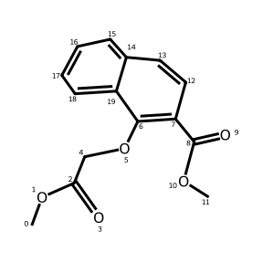 COC(=O)COc1c(C(=O)OC)ccc2ccccc12